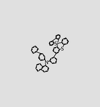 c1ccc(-c2ccc(N(c3cccc(-c4ccc5c(c4)Sc4ccccc4[Si]54c5ccccc5-c5ccccc54)c3)c3cccc4ccccc34)cc2)cc1